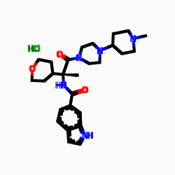 CN1CCC(N2CCN(C(=O)[C@](C)(NC(=O)c3ccc4cc[nH]c4c3)C3CCOCC3)CC2)CC1.Cl